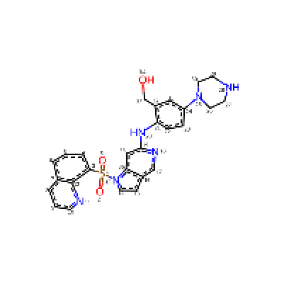 O=S(=O)(c1cccc2cccnc12)n1ccc2cnc(Nc3ccc(N4CCNCC4)cc3CO)cc21